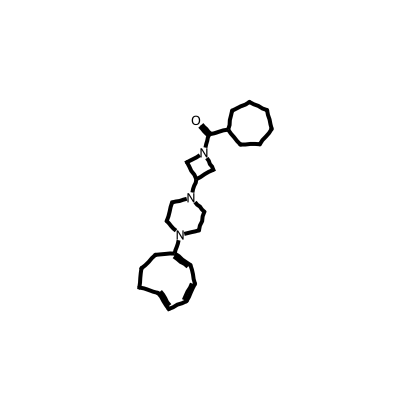 O=C(C1CCCCCC1)N1CC(N2CCN(/C3=C/C=C\C=C\CCC3)CC2)C1